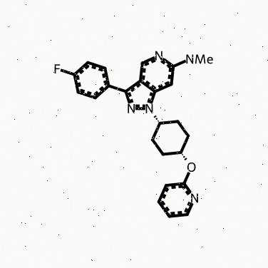 CNc1cc2c(cn1)c(-c1ccc(F)cc1)nn2[C@H]1CC[C@@H](Oc2ccccn2)CC1